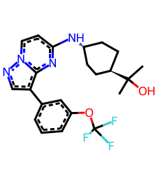 CC(C)(O)[C@H]1CC[C@H](Nc2ccn3ncc(-c4cccc(OC(F)(F)F)c4)c3n2)CC1